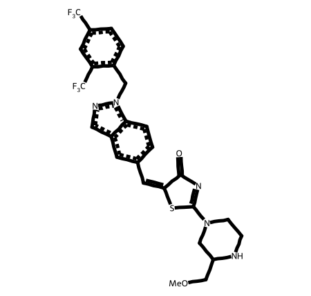 COCC1CN(C2=NC(=O)/C(=C\c3ccc4c(cnn4Cc4ccc(C(F)(F)F)cc4C(F)(F)F)c3)S2)CCN1